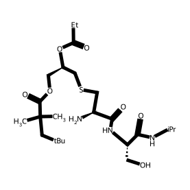 CCC(=O)O[C@H](COC(=O)C(C)(C)CC(C)(C)C)CSC[C@H](N)C(=O)N[C@@H](CO)C(=O)NC(C)C